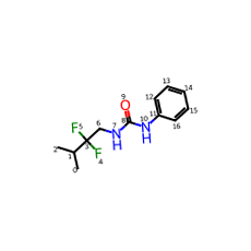 CC(C)C(F)(F)CNC(=O)Nc1ccccc1